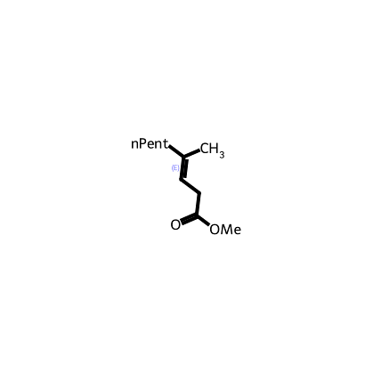 CCCCC/C(C)=C/CC(=O)OC